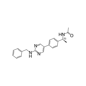 CC(=O)N[C@@H](C)c1ccc(-c2cnc(NCc3ccccc3)nc2)cc1